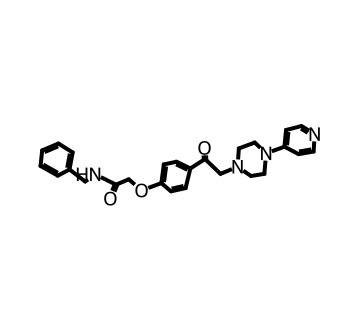 O=C(COc1ccc(C(=O)CN2CCN(c3ccncc3)CC2)cc1)NCc1ccccc1